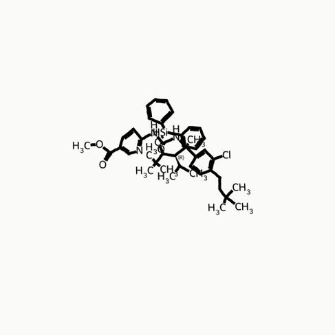 COC(=O)c1ccc(NC(=O)NC(C)(c2ccc(CCC(C)(C)C)c(Cl)c2)[C@@H](C(C)C)C(O[SiH](c2ccccc2)c2ccccc2)C(C)(C)C)nc1